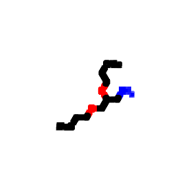 COCCOCC(CN)OCCOC